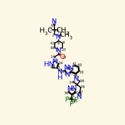 CN(CC(C)(C)C#N)C1CCN(C(=O)CN2C=C(Nc3nc4c(N5CC(CC#N)(n6cc(C(F)(F)F)cn6)C5)cccn4n3)CN2)CC1